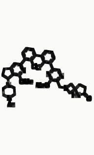 COc1nc(-c2cccc(-c3cccc(-c4cc5c(c(OC)n4)C(N4CCN(C(C)=O)CC4)CC5)c3Cl)c2Cl)cnc1CN1CC2(CCC(=O)N2)C1